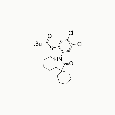 CC(C)(C)C(=O)Sc1cc(Cl)c(Cl)cc1NC(=O)C1(C2CCCCC2)CCCCC1